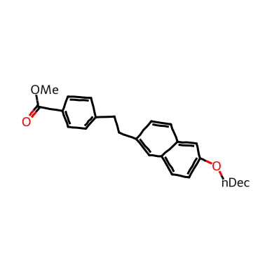 CCCCCCCCCCOc1ccc2cc(CCc3ccc(C(=O)OC)cc3)ccc2c1